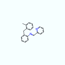 Cc1ccccc1Cc1ccccc1N=Cc1ccccn1